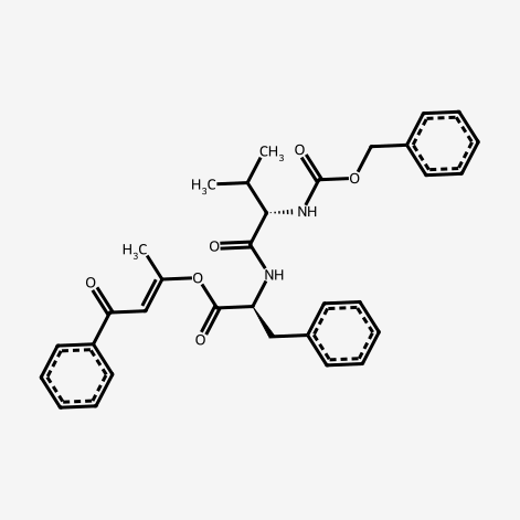 C/C(=C\C(=O)c1ccccc1)OC(=O)[C@H](Cc1ccccc1)NC(=O)[C@@H](NC(=O)OCc1ccccc1)C(C)C